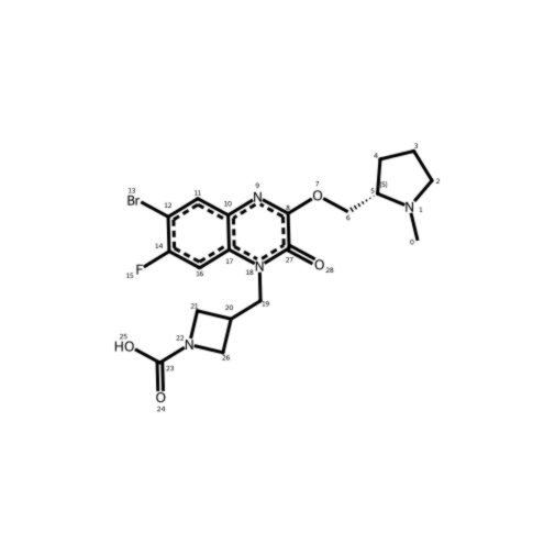 CN1CCC[C@H]1COc1nc2cc(Br)c(F)cc2n(CC2CN(C(=O)O)C2)c1=O